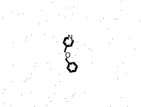 c1ccc(COCc2ccncc2)cc1